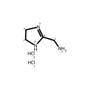 Cl.Cl.NCC1=NCCN1